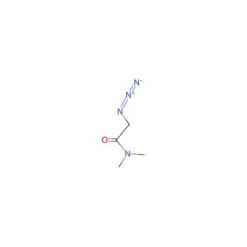 CN(C)C(=O)CN=[N+]=[N-]